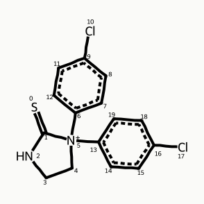 S=C1NCC[N+]1(c1ccc(Cl)cc1)c1ccc(Cl)cc1